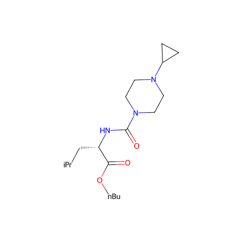 CCCCOC(=O)[C@H](CC(C)C)NC(=O)N1CCN(C2CC2)CC1